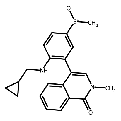 Cn1cc(-c2cc([S+](C)[O-])ccc2NCC2CC2)c2ccccc2c1=O